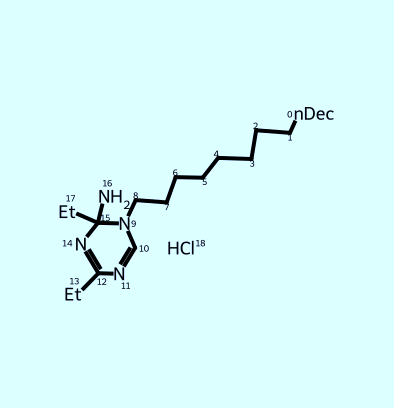 CCCCCCCCCCCCCCCCCCN1C=NC(CC)=NC1(N)CC.Cl